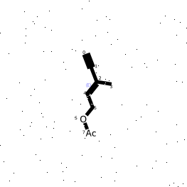 [C]#C/C(C)=C/COC(C)=O